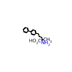 CC(N)(CCCc1ccc(-c2ccccc2)cc1)C(=O)O